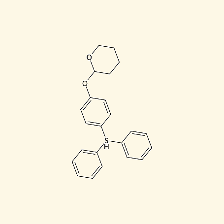 c1ccc([SH](c2ccccc2)c2ccc(OC3CCCCO3)cc2)cc1